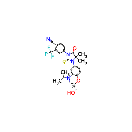 CC(C)N1C[C@@H](CO)Oc2ccc(N3C(=S)N(c4ccc(C#N)c(C(F)(F)F)c4)C(=O)C3(C)C)cc21